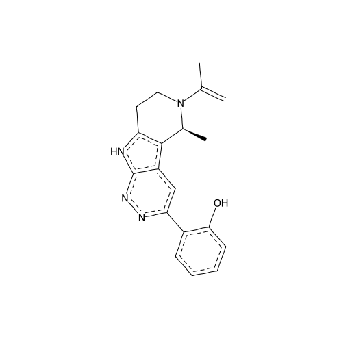 C=C(C)N1CCc2[nH]c3nnc(-c4ccccc4O)cc3c2[C@@H]1C